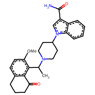 COc1ccc2c(c1C(C)N1CCC(n3cc(C(N)=O)c4cc[c]cc43)CC1)C(=O)CCC2